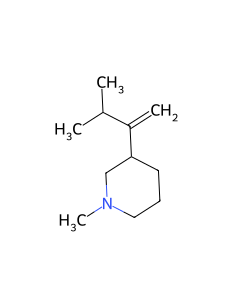 C=C(C(C)C)C1CCCN(C)C1